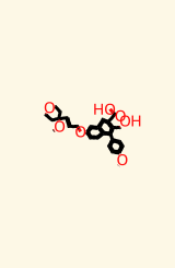 COc1ccc(-c2c(CO)c(C(=O)O)cc3cc(OCC=CC4(OC)CCOCC4)ccc23)cc1